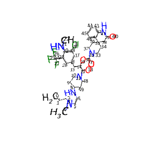 C=CCN(C)/C=C\NC1CCN(C(=O)[C@@H](Cc2cc(Cl)c(NC)c(C(F)(F)F)c2)OC(=O)N2CCC3(CC2)CC(=O)Nc2ccccc23)CC1